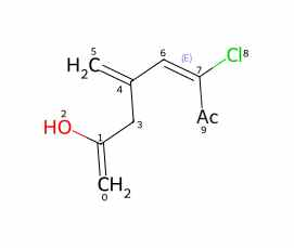 C=C(O)CC(=C)/C=C(/Cl)C(C)=O